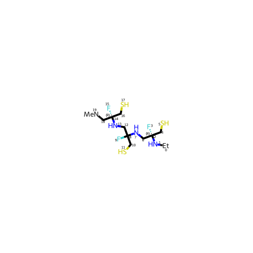 CCN[C@](F)(CS)CNC(F)(CS)CN[C@](F)(CS)CNC